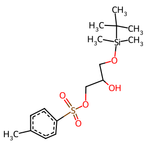 Cc1ccc(S(=O)(=O)OCC(O)CO[Si](C)(C)C(C)(C)C)cc1